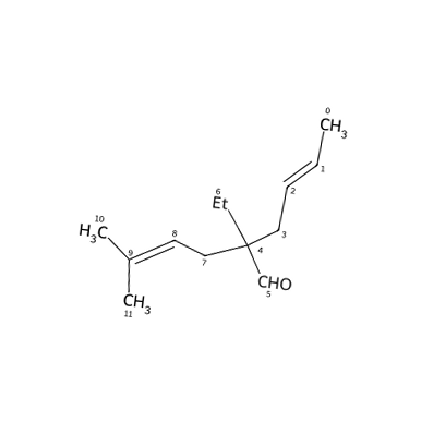 CC=CCC(C=O)(CC)CC=C(C)C